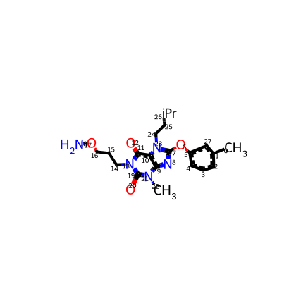 Cc1cccc(Oc2nc3c(c(=O)n(CCCON)c(=O)n3C)n2CCC(C)C)c1